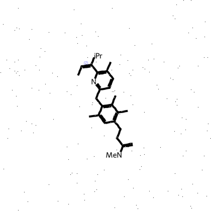 C=C(CCc1cc(C)c(Cc2ccc(C)c(/C(=C\C)C(C)C)n2)c(C)c1C)NC